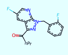 CCCC(=O)c1nn(Cc2ccccc2F)c2ncc(F)cc12